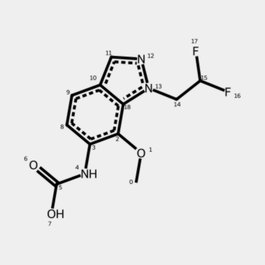 COc1c(NC(=O)O)ccc2cnn(CC(F)F)c12